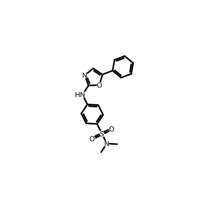 CN(C)S(=O)(=O)c1ccc(Nc2ncc(-c3ccccc3)o2)cc1